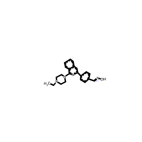 CCN1CCN(c2nc(-c3ccc(/C=N/O)cc3)cc3ccccc23)CC1